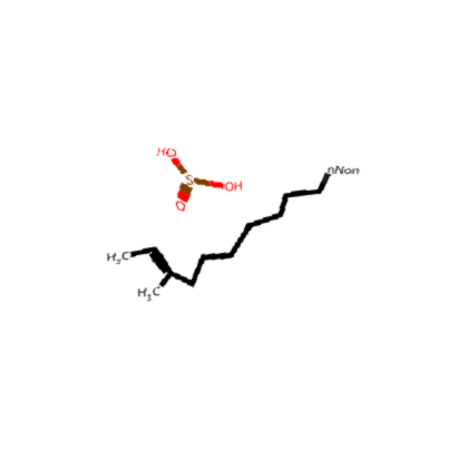 CC=C(C)CCCCCCCCCCCCCCCC.O=S(O)O